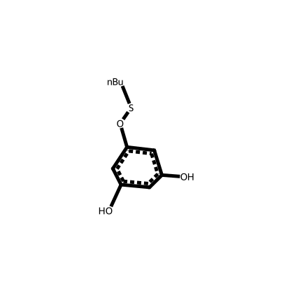 CCCCSOc1cc(O)cc(O)c1